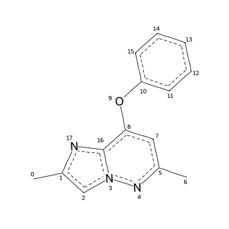 Cc1cn2nc(C)cc(Oc3ccccc3)c2n1